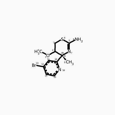 COC1CSC(N)=N[C@]1(C)c1cc(Br)ccn1